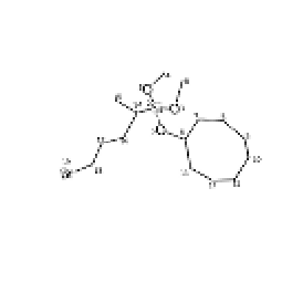 CO[Si](OC)(OC1CCCCCCC1)C(C)CCCBr